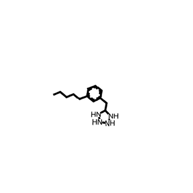 CCCCCc1cccc(CC2NNNN2)c1